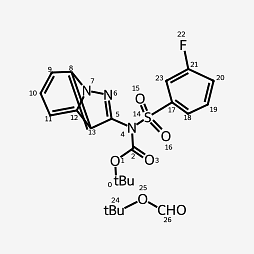 CC(C)(C)OC(=O)N(c1nn2c3cccc2c13)S(=O)(=O)c1cccc(F)c1.CC(C)(C)OC=O